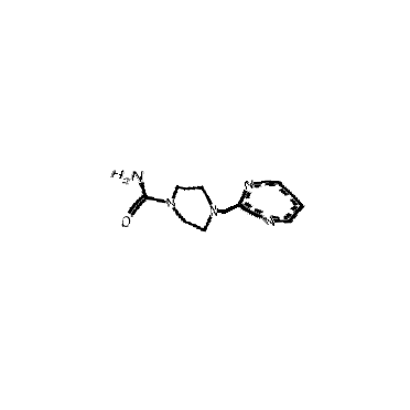 NC(=O)N1CCN(c2ncccn2)CC1